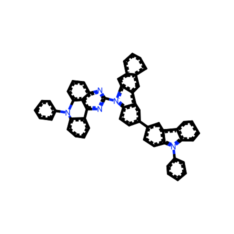 c1ccc(N2c3ccccc3-c3nc(-n4c5ccc(-c6ccc7c(c6)c6ccccc6n7-c6ccccc6)cc5c5cc6ccccc6cc54)nc4cccc2c34)cc1